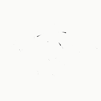 CS(=O)(=O)N1CCC(Nc2ncc3cc(C#N)c(=O)n([C@H]4C[C@@H]5CC[C@H]4C5)c3n2)CC1